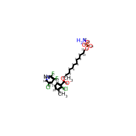 CCCCCCCCCCCCOS(=O)(=O)ON.Cc1cccc(C(=O)[O-])c1Cl.Fc1cc(Cl)cnc1F.[Na+]